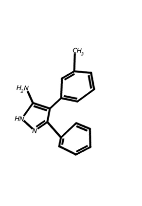 Cc1cccc(-c2c(-c3ccccc3)n[nH]c2N)c1